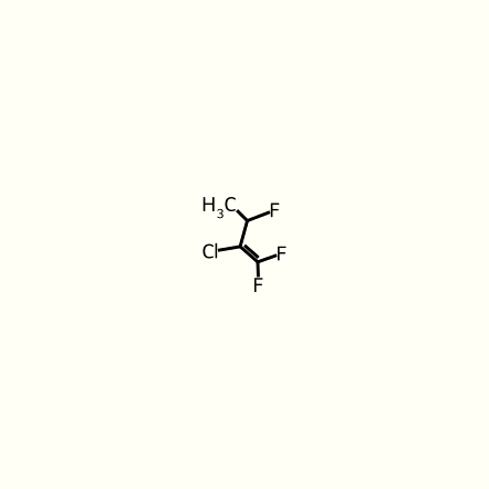 CC(F)C(Cl)=C(F)F